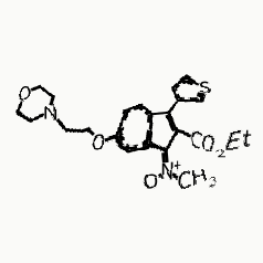 CCOC(=O)C1=C(c2ccsc2)c2ccc(OCCN3CCOCC3)cc2/C1=[N+](/C)[O-]